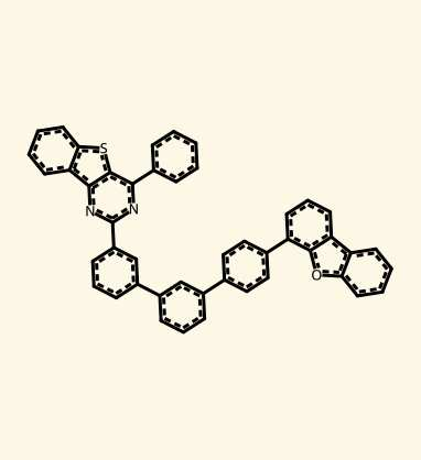 c1ccc(-c2nc(-c3cccc(-c4cccc(-c5ccc(-c6cccc7c6oc6ccccc67)cc5)c4)c3)nc3c2sc2ccccc23)cc1